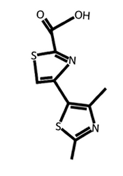 Cc1nc(C)c(-c2csc(C(=O)O)n2)s1